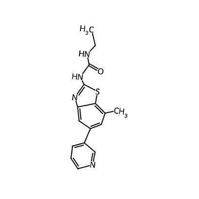 CCNC(=O)Nc1nc2cc(-c3cccnc3)cc(C)c2s1